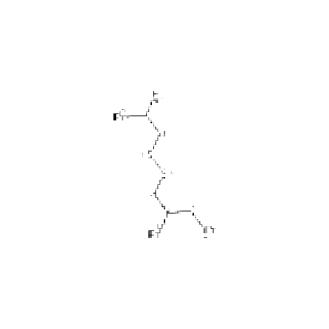 CCC(CSSCC(CC(C)C)C(C)C)C(C)C